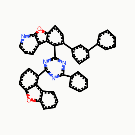 c1ccc(-c2cccc(-c3ccc4oc5ncccc5c4c3-c3nc(-c4ccccc4)nc(-c4cccc5oc6ccccc6c45)n3)c2)cc1